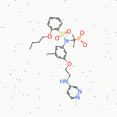 CCCCOc1ccccc1S(=O)(=O)N(c1cc(C)cc(OCCNc2ccnnc2)c1)C(C)(C)P(=O)=O